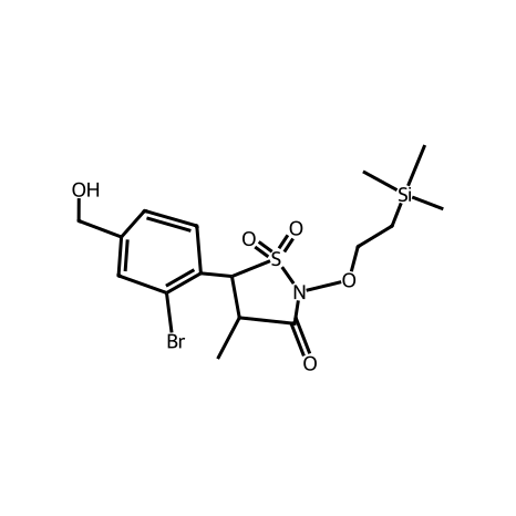 CC1C(=O)N(OCC[Si](C)(C)C)S(=O)(=O)C1c1ccc(CO)cc1Br